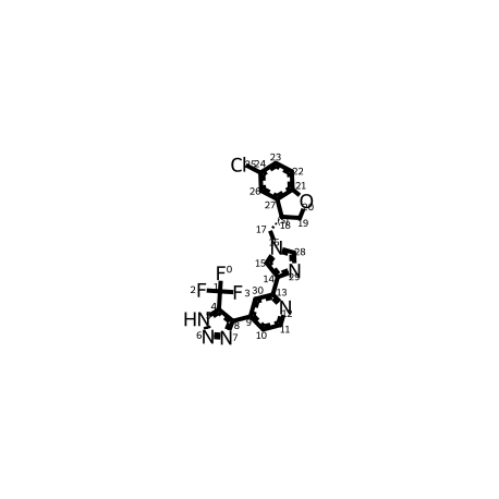 FC(F)(F)c1[nH]nnc1-c1ccnc(-c2cn(C[C@H]3COc4ccc(Cl)cc43)cn2)c1